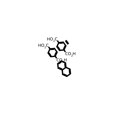 C=C.O=C(O)c1ccc(C(=O)O)cc1.O=C(O)c1ccc(C(=O)O)cc1.c1ccc2ccccc2c1